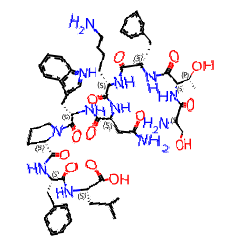 CC(C)C[C@H](NC(=O)[C@H](Cc1ccccc1)NC(=O)[C@@H]1CCCN1C(=O)[C@H](Cc1c[nH]c2ccccc12)NC(=O)[C@H](CC(N)=O)NC(=O)[C@H](CCCCN)NC(=O)[C@H](Cc1ccccc1)NC(=O)[C@@H](NC(=O)[C@@H](N)CO)[C@@H](C)O)C(=O)O